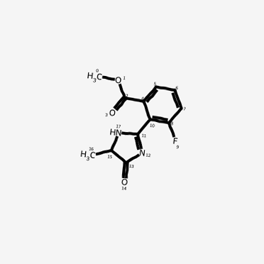 COC(=O)c1cccc(F)c1C1=NC(=O)C(C)N1